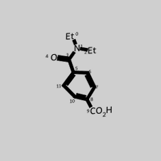 CCN(CC)C(=O)c1ccc(C(=O)O)cc1